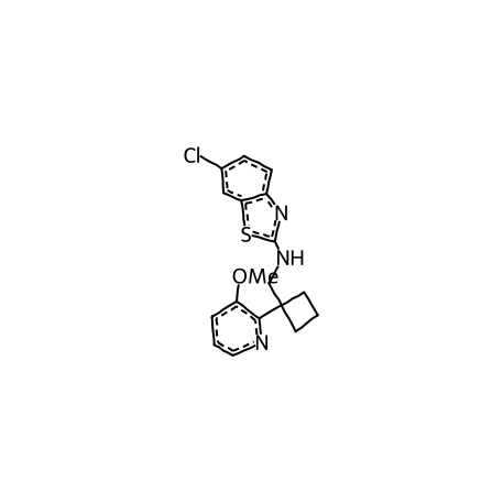 COc1cccnc1C1(CNc2nc3ccc(Cl)cc3s2)CCC1